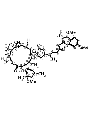 CC[C@H]1OC(=O)[C@H](C)C([C@H]2C[C@@](C)(OC)C[C@H](C)O2)[C@H](C)[C@@H](O[C@H]2C[C@@H](N(C)CCc3cn([C@H](CF)[C@H](OC)c4ccc(SC)cc4)nn3)C[C@@H](C)O2)[C@](C)(O)C[C@@H](C)CN(C)[C@H](C)[C@@H](O)[C@]1(C)O